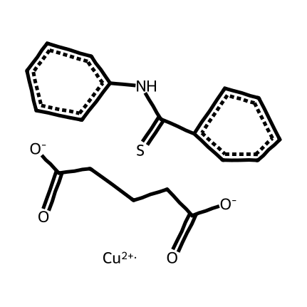 O=C([O-])CCCC(=O)[O-].S=C(Nc1ccccc1)c1ccccc1.[Cu+2]